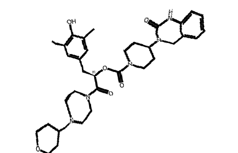 Cc1cc(C[C@@H](OC(=O)N2CCC(N3Cc4ccccc4NC3=O)CC2)C(=O)N2CCN(C3CCOCC3)CC2)cc(C)c1O